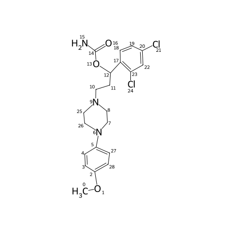 COc1ccc(N2CCN(CCC(OC(N)=O)c3ccc(Cl)cc3Cl)CC2)cc1